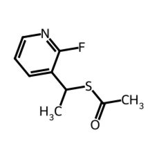 CC(=O)SC(C)c1cccnc1F